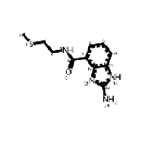 CSCCNC(=O)c1cccc2[nH]c(N)nc12